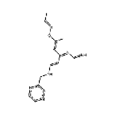 C/C=N/O/C(C)=C/C(/C=C/NCc1cnccn1)=N/C=N